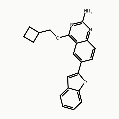 Nc1nc(OCC2CCC2)c2cc(-c3cc4ccccc4o3)ccc2n1